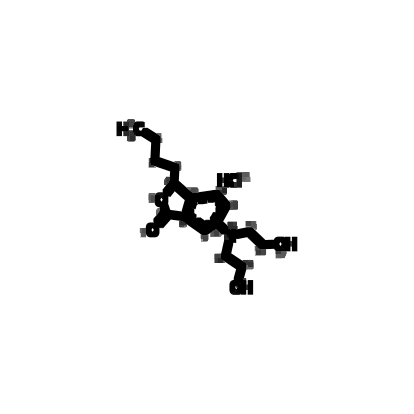 CCCCC1OC(=O)c2cc(N(CCO)CCO)ccc21.Cl